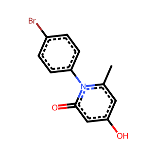 Cc1cc(O)cc(=O)n1-c1ccc(Br)cc1